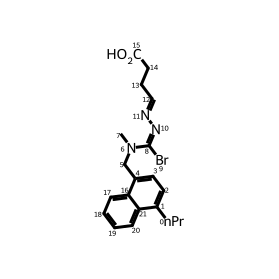 CCCc1ccc(CN(C)/C(Br)=N\N=C\CCC(=O)O)c2ccccc12